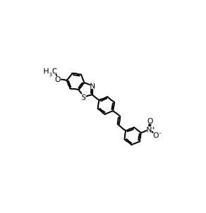 COc1ccc2nc(-c3ccc(C=Cc4cccc([N+](=O)[O-])c4)cc3)sc2c1